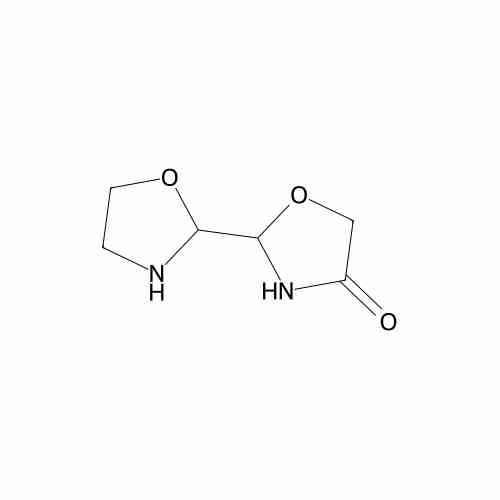 O=C1COC(C2NCCO2)N1